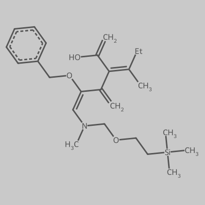 C=C(O)/C(C(=C)/C(=C\N(C)COCC[Si](C)(C)C)OCc1ccccc1)=C(/C)CC